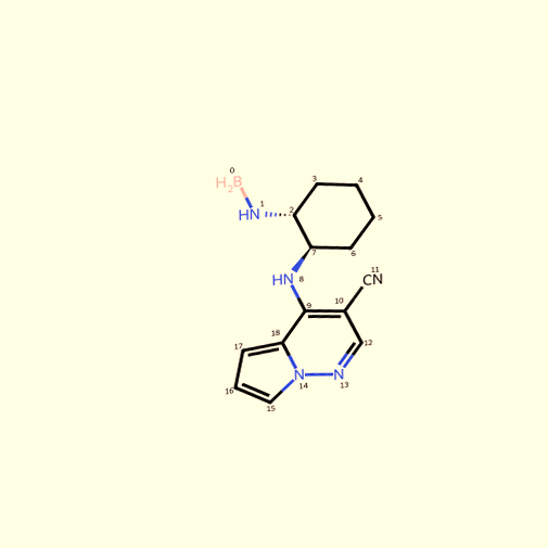 BN[C@@H]1CCCC[C@H]1Nc1c(C#N)cnn2cccc12